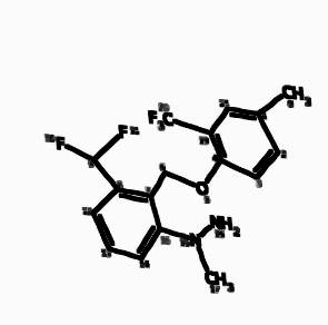 Cc1ccc(OCc2c(C(F)F)cccc2N(C)N)c(C(F)(F)F)c1